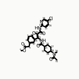 COC(=O)Cc1ccc2oc(C(=O)Nc3ccc(Cl)cn3)c(NC(=O)C3CCC(N(C)C(C)=O)CC3)c2c1